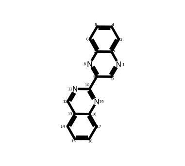 [c]1nc2ccccc2nc1-c1ncc2ccccc2n1